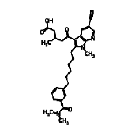 CC(CC(=O)O)CC(=O)c1c(CCCCCCc2cccc(C(=O)N(C)C)c2)n(C)c2ncc(C#N)cc12